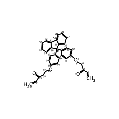 C=CC(=O)CCOc1ccc(C2(c3ccc(OCCC(=O)C=C)cc3)c3ccccc3-c3ccccc32)cc1